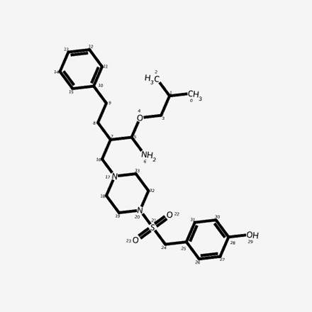 CC(C)COC(N)C(CCc1ccccc1)CN1CCN(S(=O)(=O)Cc2ccc(O)cc2)CC1